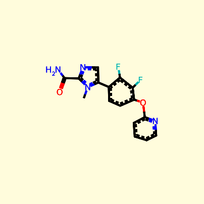 Cn1c(-c2ccc(Oc3ccccn3)c(F)c2F)cnc1C(N)=O